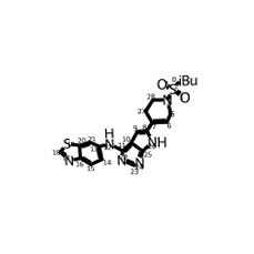 CCC(C)S(=O)(=O)N1CC=C(c2cc3c(Nc4ccc5ncsc5c4)ncnc3[nH]2)CC1